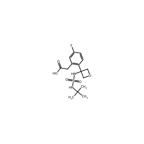 CC(C)(C)NS(=O)(=O)NC1(c2ccc(F)cc2CC(=O)O)COC1